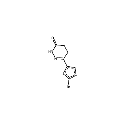 O=C1CCC(c2ccc(Br)s2)=NN1